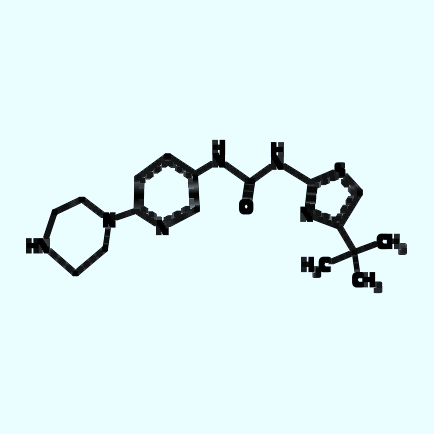 CC(C)(C)c1csc(NC(=O)Nc2ccc(N3CCNCC3)nc2)n1